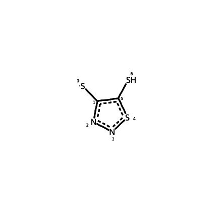 [S]c1nnsc1S